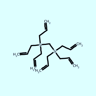 C=CC[Si]([CH][Si](CC=C)(CC=C)CC=C)(CC=C)CC=C